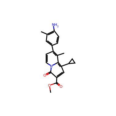 COC(=O)c1cc(C2CC2)c2c(C)c(-c3ccc(N)c(C)c3)ccn2c1=O